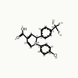 O=C(O)C1=CC(c2ccc(C(F)(F)F)cc2)N(c2ccc(Cl)cc2)C=C1